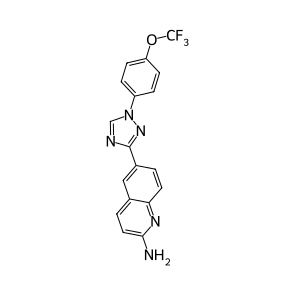 Nc1ccc2cc(-c3ncn(-c4ccc(OC(F)(F)F)cc4)n3)ccc2n1